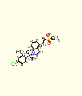 CC(C)C(C(=O)O)(c1ccc(Cl)cc1)n1ccc2c(C=CS(C)(=O)=O)cccc21